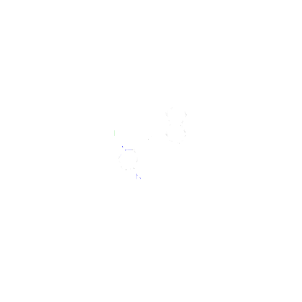 Cc1cnc(CCCc2cccc3ccccc23)cc1N1CCCCC1.Cl